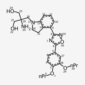 CCCOc1ccc(-c2nc(-c3cccc4c3CCN4CC(N)(CO)CO)no2)cc1OCCC